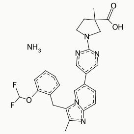 Cc1nc2ccc(-c3cnc(N4CCC(C)(C(=O)O)C4)nc3)cn2c1Cc1ccccc1OC(F)F.N